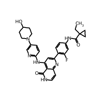 CCC1(C(=O)Nc2ccc(-c3cc(Nc4ccc(N5CCC(O)CC5)cn4)c4c(=O)[nH]ccc4n3)c(F)c2)CC1